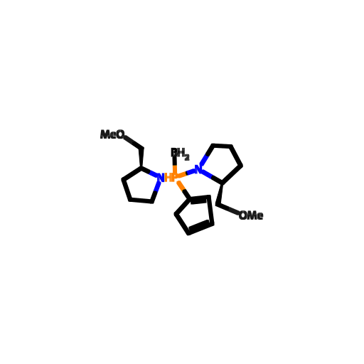 B[PH](C1=CC=CC1)(N1CCC[C@H]1COC)N1CCC[C@H]1COC